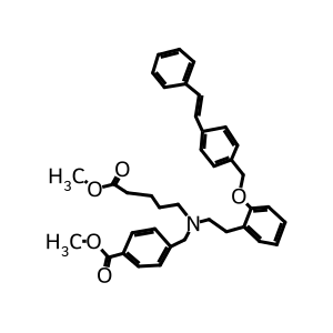 COC(=O)CCCCN(CCc1ccccc1OCc1ccc(C=Cc2ccccc2)cc1)Cc1ccc(C(=O)OC)cc1